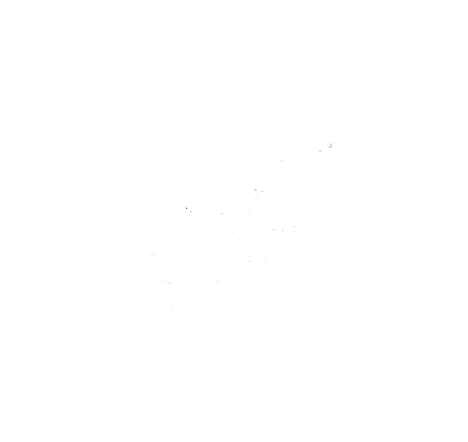 Cc1c([C@@H](C)Nc2nnc(C)c3ccc(OC4CNC4)cc23)cccc1C(C)(F)F